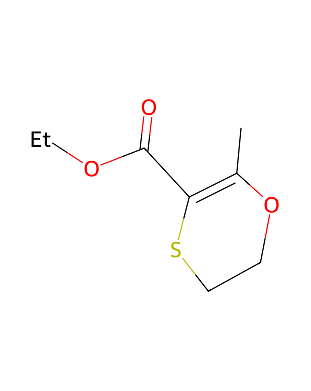 CCOC(=O)C1=C(C)OCCS1